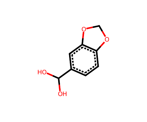 OC(O)c1ccc2c(c1)OCO2